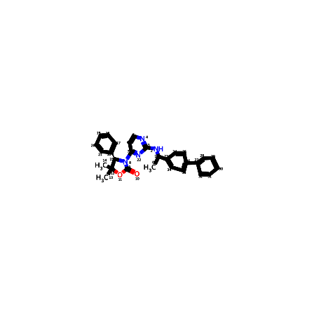 CC(Nc1nccc(N2C(=O)OC(C)(C)[C@@H]2c2ccccc2)n1)c1ccc(-c2ccccc2)cc1